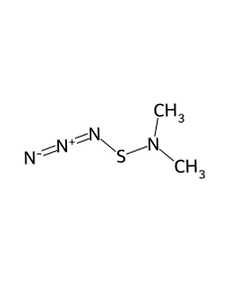 CN(C)SN=[N+]=[N-]